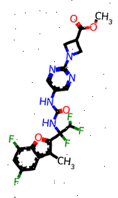 COC(=O)C1CN(c2ncc(NC(=O)NC(F)(c3oc4c(F)cc(F)cc4c3C)C(F)F)cn2)C1